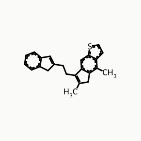 CC1=C(CCC2=Cc3ccccc3C2)c2cc3sccc3c(C)c2C1